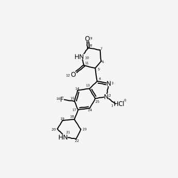 Cl.Cn1nc(C2CCC(=O)NC2=O)c2cc(F)c(C3CCNCC3)cc21